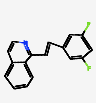 Fc1cc(F)cc(C=Cc2nccc3ccccc23)c1